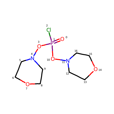 O=P(Cl)(ON1CCOCC1)ON1CCOCC1